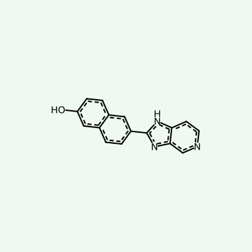 Oc1ccc2cc(-c3nc4cnccc4[nH]3)ccc2c1